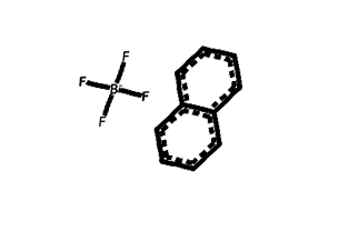 F[B-](F)(F)F.c1ccc2ccccc2c1